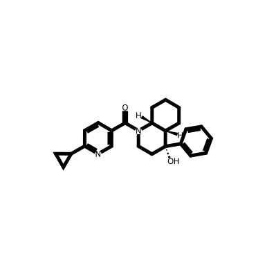 O=C(c1ccc(C2CC2)nc1)N1CC[C@](O)(c2ccccc2)[C@H]2CCCC[C@H]21